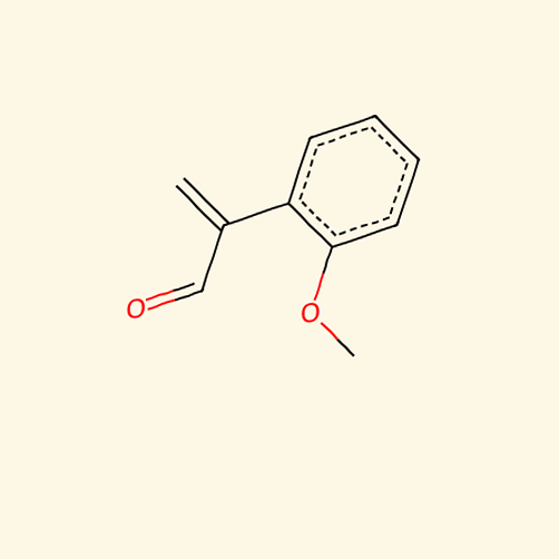 C=C(C=O)c1ccccc1OC